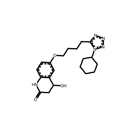 O=C1CC(O)c2cc(OCCCCc3nnnn3C3CCCCC3)ccc2N1